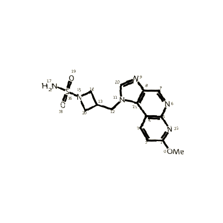 COc1ccc2c(ncc3ncn(CC4CN(S(N)(=O)=O)C4)c32)n1